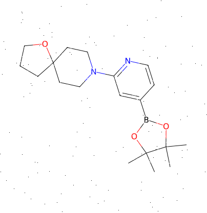 CC1(C)OB(c2ccnc(N3CCC4(CCCO4)CC3)c2)OC1(C)C